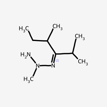 CCC(C)/C(=N\N(C)N)C(C)C